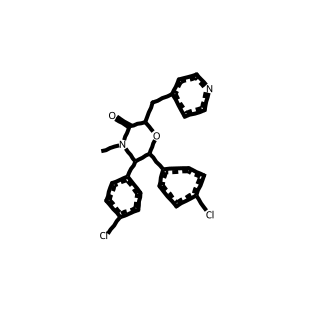 CN1C(=O)C(Cc2ccncc2)OC(c2ccc(Cl)cc2)C1c1ccc(Cl)cc1